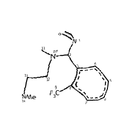 C=NC(c1ccccc1C(F)(F)F)N(C)CCNC